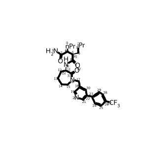 CCC[C@H](C(N)=O)[C@@H](CC(C)C)C(=O)N[C@H]1CCCCN(Cc2cncc(-c3ccc(C(F)(F)F)cc3)c2)C1=O